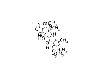 Cc1cc(C(C)(C)C)c(O)c2c1C[C@H]1C[C@H]3[C@H](N(C)C)C(O)=C(C(N)=O)C(=O)[C@@]3(O)C(O)=C1C2=O